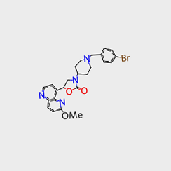 COc1ccc2nccc(C3CN(C4CCN(Cc5ccc(Br)cc5)CC4)C(=O)O3)c2n1